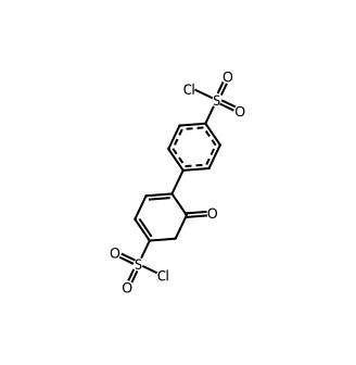 O=C1CC(S(=O)(=O)Cl)=CC=C1c1ccc(S(=O)(=O)Cl)cc1